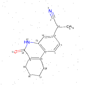 CC(C#N)c1ccc2c3c(c(=O)[nH]c2c1)CCCC3